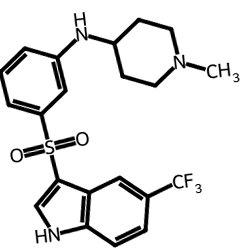 CN1CCC(Nc2cccc(S(=O)(=O)c3c[nH]c4ccc(C(F)(F)F)cc34)c2)CC1